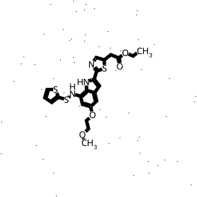 CCOC(=O)CC1CN=C(c2cc3cc(OCCOC)cc(NSc4cccs4)c3[nH]2)S1